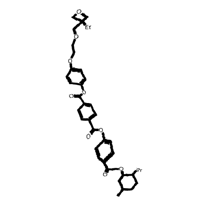 CCC1(COCCOc2ccc(OC(=O)c3ccc(C(=O)Oc4ccc(C(=O)OC5CC(C)CCC5C(C)C)cc4)cc3)cc2)COC1